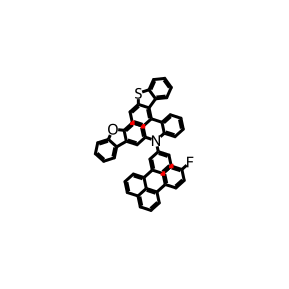 Fc1ccc(-c2cccc3cccc(-c4cccc(N(c5ccc6oc7ccccc7c6c5)c5ccccc5-c5cccc6sc7ccccc7c56)c4)c23)cc1